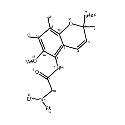 CCCCCCC1(C)C=Cc2c(NC(=O)CN(CC)CC)c(OC)c(C)c(C)c2O1